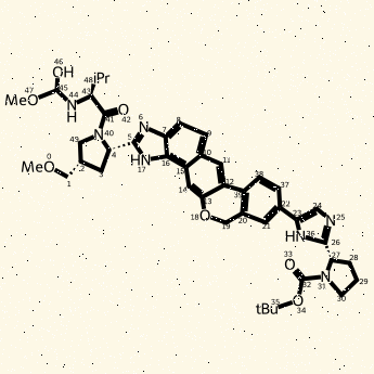 COC[C@H]1C[C@@H](c2nc3ccc4cc5c(cc4c3[nH]2)OCc2cc(-c3cnc([C@@H]4CCCN4C(=O)OC(C)(C)C)[nH]3)ccc2-5)N(C(=O)[C@@H](NC(O)OC)C(C)C)C1